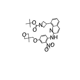 CC1(COc2ccc(Nc3ccc4cccc(C5CN(C(=O)OC(C)(C)C)C5)c4n3)c([N+](=O)[O-])c2)COC1